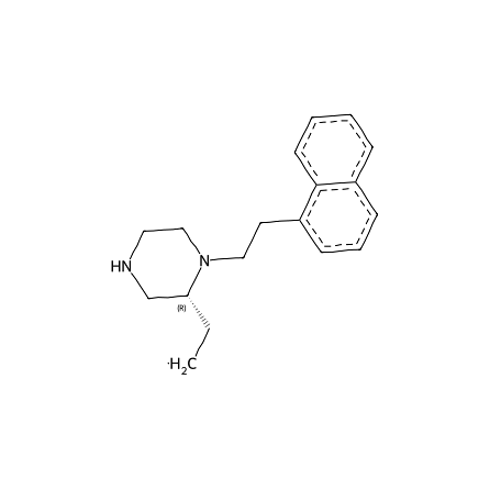 [CH2]C[C@@H]1CNCCN1CCc1cccc2ccccc12